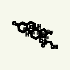 C[C@]12CC[C@H]3[C@@H](CCC4=CC(=O)CC[C@@]43C)[C@@H]1C[C@@H](F)[C@@H]2C(=O)CO